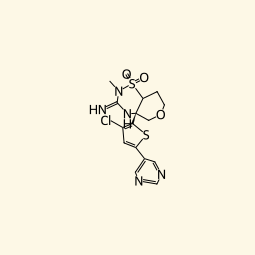 CN1C(=N)N[C@@]2(c3sc(-c4cncnc4)cc3Cl)COCCC2S1(=O)=O